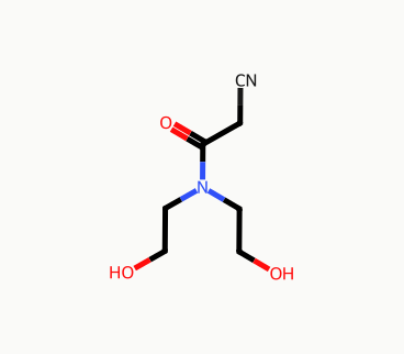 N#CCC(=O)N(CCO)CCO